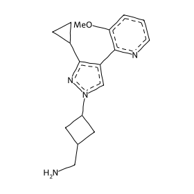 COc1cccnc1-c1cn(C2CC(CN)C2)nc1C1CC1